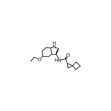 CCOC1CCC2NC=C(NC(=O)C3CC34CCC4)C2C1